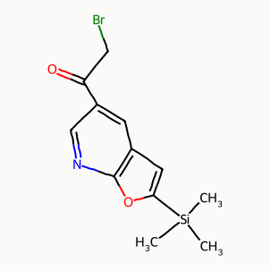 C[Si](C)(C)c1cc2cc(C(=O)CBr)cnc2o1